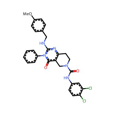 COc1ccc(CNc2nc3c(c(=O)n2-c2ccccc2)CN(C(=O)Nc2ccc(Cl)c(Cl)c2)CC3)cc1